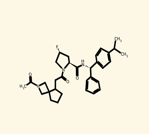 CC(=O)N1CC2(CCCC2CC(=O)N2C[C@H](F)C[C@H]2C(=O)N[C@@H](c2ccccc2)c2ccc(C(C)C)cc2)C1